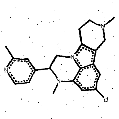 Cc1cc(C2Cn3c4c(c5cc(Cl)cc(c53)N2C)CN(C)CC4)ccn1